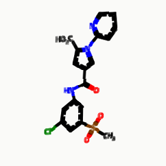 CS(=O)(=O)c1cc(Cl)cc(NC(=O)c2cc(C(=O)O)n(-c3ccccn3)c2)c1